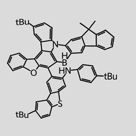 CC(C)(C)c1ccc(Nc2cc3sc4ccc(C(C)(C)C)cc4c3cc2-c2c3c4c(c5cc(C(C)(C)C)ccc5n4-c4cc5c(cc4B3)-c3ccccc3C5(C)C)c3c2oc2ccccc23)cc1